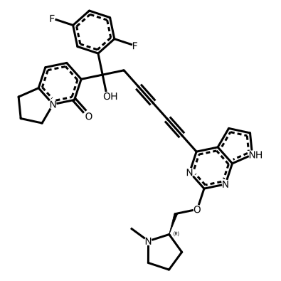 CN1CCC[C@@H]1COc1nc(C#CC#CCC(O)(c2cc(F)ccc2F)c2ccc3n(c2=O)CCC3)c2cc[nH]c2n1